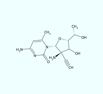 C#C[C@@]1(N)C(O)[C@@H]([C@H](C)O)O[C@H]1n1c(C)cc(N)nc1=O